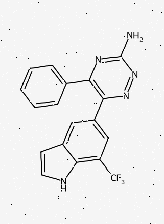 Nc1nnc(-c2cc(C(F)(F)F)c3[nH]ccc3c2)c(-c2ccccc2)n1